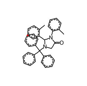 Cc1ccccc1C1N(c2ccccc2C)C(=O)CN1C(c1ccccc1)(c1ccccc1)c1ccccc1